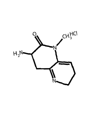 CN1C(=O)C(N)CC2=NCCC=C21.Cl